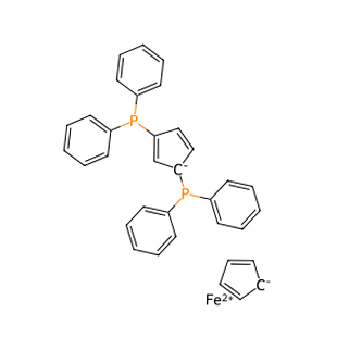 [Fe+2].c1cc[cH-]c1.c1ccc(P(c2ccccc2)c2cc[c-](P(c3ccccc3)c3ccccc3)c2)cc1